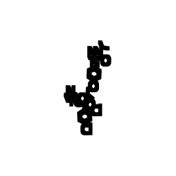 CC(C)n1ncn(-c2ccc(OCC3COC(Cn4ccnc4)(c4ccc(Cl)cc4Cl)O3)cc2)c1=O